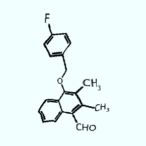 Cc1c(C)c(OCc2ccc(F)cc2)c2ccccc2c1C=O